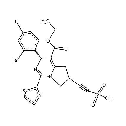 CCOC(=O)C1=C2CC(C#[N+]S(C)(=O)=O)CN2C(c2nccs2)=N[C@H]1c1ccc(F)cc1Br